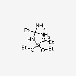 CCO[Si](NC(N)(N)CC)(OCC)OCC